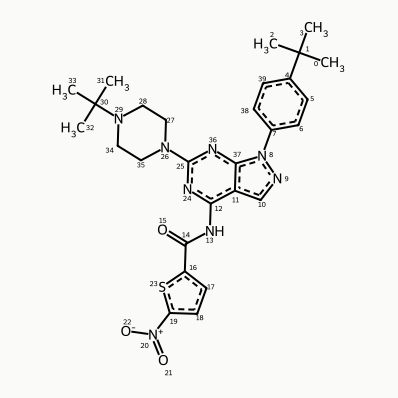 CC(C)(C)c1ccc(-n2ncc3c(NC(=O)c4ccc([N+](=O)[O-])s4)nc(N4CCN(C(C)(C)C)CC4)nc32)cc1